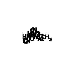 C=Cc1cc2c(nc1C(C)=O)N(C(=O)Nc1ccccn1)[C@H]1CCN2C1